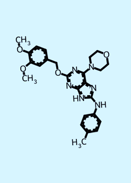 COc1ccc(COc2nc(N3CCOCC3)c3nc(Nc4ccc(C)cc4)[nH]c3n2)cc1OC